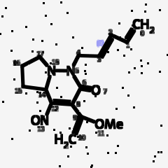 C=C/C=C/CN1C(=O)C(C(=C)OC)=C(N=O)C2CCCN21